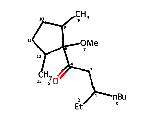 CCCCC(CC)CC(=O)C1(OC)C(C)CCC1C